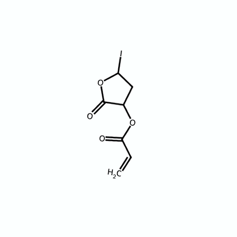 C=CC(=O)OC1CC(I)OC1=O